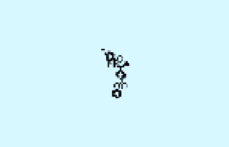 O=C(NC(C1CC1)C1CCN(C(=O)Oc2ccccc2)CC1)c1ccc(F)cc1